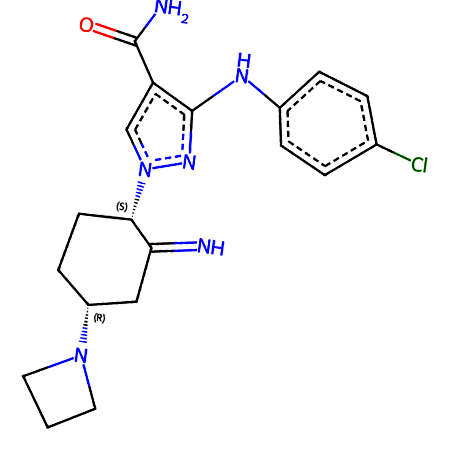 N=C1C[C@H](N2CCC2)CC[C@@H]1n1cc(C(N)=O)c(Nc2ccc(Cl)cc2)n1